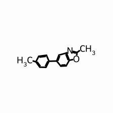 Cc1ccc(-c2ccc3oc(C)nc3c2)cc1